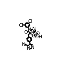 C[C@@]1(Cc2ccc(-c3cncnc3C#N)cc2)C(=O)N(c2cc(Cl)cc(Cl)c2)c2ncc(S(=O)(=O)O)n21